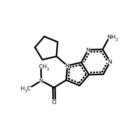 CN(C)C(=O)c1cc2cnc(N)nc2n1C1CCCC1